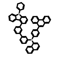 C1=CC(n2c3ccccc3c3c(-c4cccc(-c5cccc(N(c6ccc(-c7cc8ccccc8c8ccccc78)cc6)c6cccc7ccccc67)c5)c4)cccc32)=CCC1